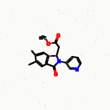 CCCOC(=O)CC1c2cc(C)c(C)cc2C(=O)N1c1cccnc1